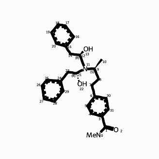 CNC(=O)c1ccc(CC[C@H](C)N([C@H](O)Cc2ccccc2)[C@H](O)Cc2ccccc2)cc1